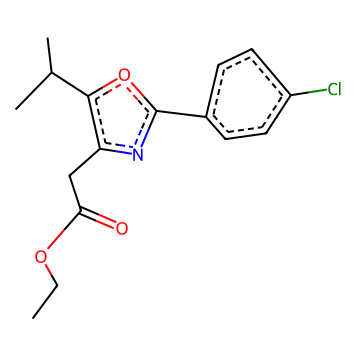 CCOC(=O)Cc1nc(-c2ccc(Cl)cc2)oc1C(C)C